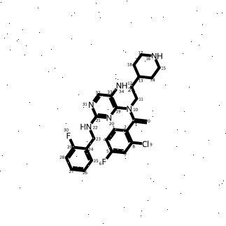 C=C(c1ccc(F)cc1Cl)N(CCC1CCNCC1)c1nc(NCc2ccccc2F)ncc1N